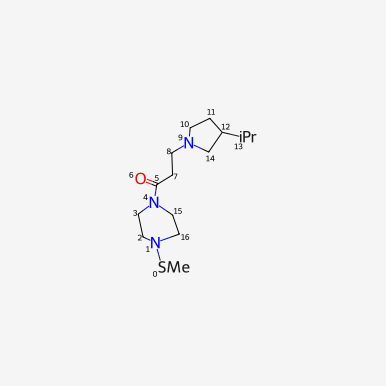 CSN1CCN(C(=O)CCN2CCC(C(C)C)C2)CC1